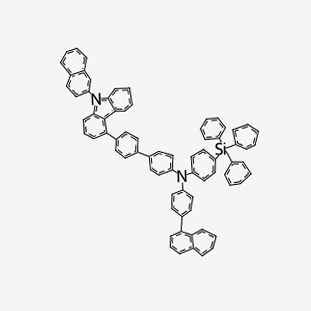 c1ccc([Si](c2ccccc2)(c2ccccc2)c2ccc(N(c3ccc(-c4ccc(-c5cccc6c5c5ccccc5n6-c5ccc6ccccc6c5)cc4)cc3)c3ccc(-c4cccc5ccccc45)cc3)cc2)cc1